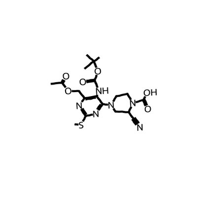 CSc1nc(COC(C)=O)c(NC(=O)OC(C)(C)C)c(N2CCN(C(=O)O)C(C#N)C2)n1